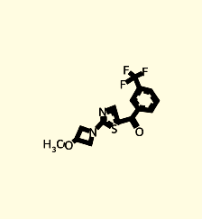 COC1CN(c2ncc(C(=O)c3cccc(C(F)(F)F)c3)s2)C1